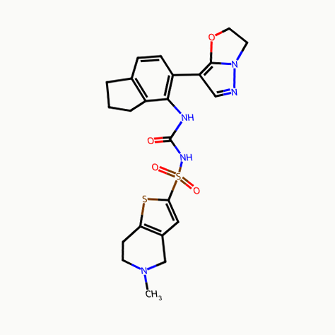 CN1CCc2sc(S(=O)(=O)NC(=O)Nc3c(-c4cnn5c4OCC5)ccc4c3CCC4)cc2C1